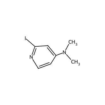 CN(C)c1ccnc(I)c1